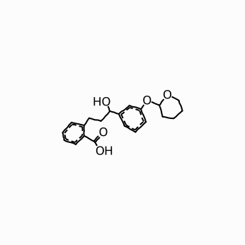 O=C(O)c1ccccc1CCC(O)c1cccc(OC2CCCCO2)c1